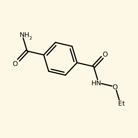 CCONC(=O)c1ccc(C(N)=O)cc1